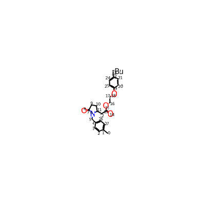 Cc1ccc(CN2C(=O)CCC2CC(=O)OCCOc2ccc(C(C)(C)C)cc2)cc1